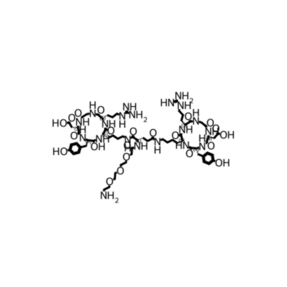 N=C(N)NCCC[C@@H]1NC(=O)[C@H](CCCCNC(=O)CC[C@H](NC(=O)COCCOCCOCCN)C(=O)NCCCC[C@@H]2NC(O)[C@@H](Cc3ccc(O)cc3)NC(=O)[C@H](CC(=O)O)NC(=O)CNC(=O)[C@H](CCCNC(=N)N)NC2=O)NC(=O)[C@@H](Cc2ccc(O)cc2)NC(=O)[C@H](CC(=O)O)NC(=O)CNC1=O